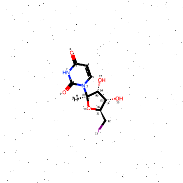 [2H][C@@]1(n2ccc(=O)[nH]c2=O)O[C@H](CI)[C@@H](O)[C@H]1O